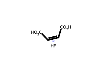 F.O=C(O)/C=C\C(=O)O